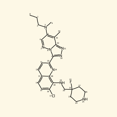 CCCN(C)c1cnn2c(-c3ccc4ccc(Cl)c(NCC5(F)CCNCC5)c4n3)nnc2c1C